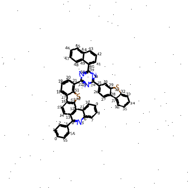 c1ccc(-c2nc3ccccc3c3c2ccc2c4cccc(-c5nc(-c6ccc7c(c6)sc6ccccc67)nc(-c6cccc7ccccc67)n5)c4sc23)cc1